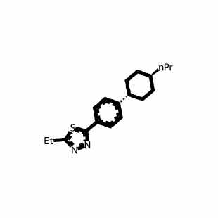 CCC[C@H]1CC[C@H](c2ccc(-c3nnc(CC)s3)cc2)CC1